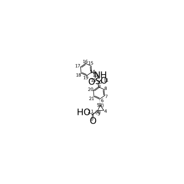 O=C(O)[C@@H]1C[C@H]1c1ccc(S(=O)(=O)Nc2ccccc2)cc1